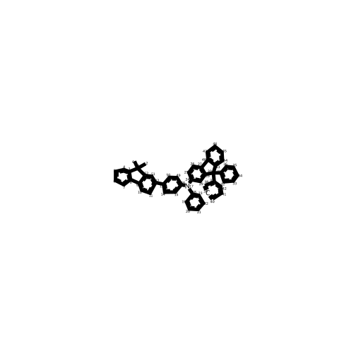 CC1(C)c2ccccc2-c2ccc(-c3ccc(N(c4ccccc4)c4ccc5c(c4)C(c4ccccc4)(c4ccccc4)c4ccccc4-5)cc3)cc21